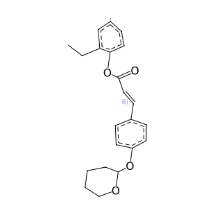 CCc1c[c]ccc1OC(=O)/C=C/c1ccc(OC2CCCCO2)cc1